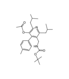 CC(=O)Oc1c(CC(C)C)nc(CC(C)C)c(CNC(=O)OC(C)(C)C)c1-c1ccc(C)cc1